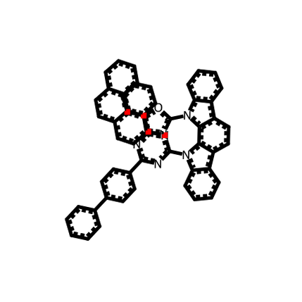 c1ccc(-c2ccc(-c3nc(-c4ccccc4)nc(-n4c5ccccc5c5ccc6c7ccccc7n(-c7nc8ccc9ccc%10ccccc%10c9c8o7)c6c54)n3)cc2)cc1